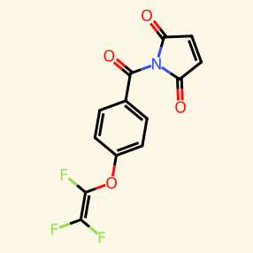 O=C1C=CC(=O)N1C(=O)c1ccc(OC(F)=C(F)F)cc1